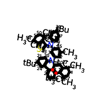 Cc1cc(N(c2ccc3c(c2)C(C)(C)CCC3(C)C)c2ccc(C(C)(C)C)cc2-c2ccccc2)cc(N(c2ccc(C(C)(C)C)cc2)c2csc3c2C(C)(C)CCC3(C)C)c1